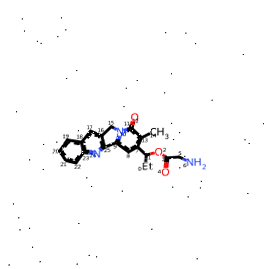 CCC(OC(=O)CN)c1cc2n(c(=O)c1C)Cc1cc3ccccc3nc1-2